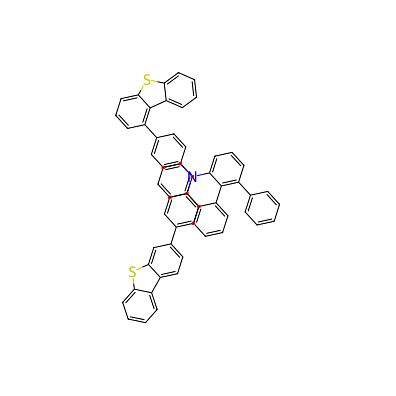 c1ccc(-c2ccccc2-c2c(-c3ccccc3)cccc2N(c2ccc(-c3ccc4c(c3)sc3ccccc34)cc2)c2ccc(-c3cccc4sc5ccccc5c34)cc2)cc1